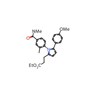 CCOC(=O)CCc1ccc(-c2ccc(OC)cc2)n1-c1ccc(C(=O)NC)cc1C